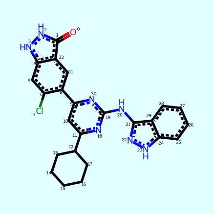 O=c1[nH][nH]c2cc(Cl)c(-c3cc(C4CCCCC4)nc(Nc4n[nH]c5ccccc45)n3)cc12